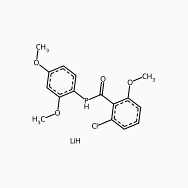 COc1ccc(PC(=O)c2c(Cl)cccc2OC)c(OC)c1.[LiH]